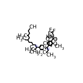 C#CCCC(=C)CC(CC)CCC(=C=CC)/C=C(\C=C)C1=CC(=C)N(/C(=C\C(=C)C)c2cc(OC)c(C(=O)NCC(F)(F)F)c(OC)c2)C=C1